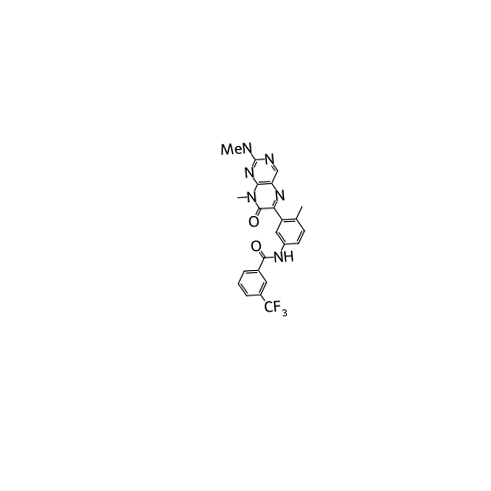 CNc1ncc2nc(-c3cc(NC(=O)c4cccc(C(F)(F)F)c4)ccc3C)c(=O)n(C)c2n1